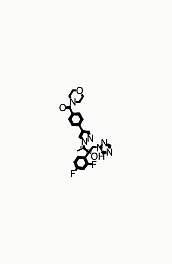 C[C@@H](n1cc(-c2ccc(C(=O)N3CCOCC3)cc2)cn1)[C@](O)(Cn1cncn1)c1ccc(F)cc1F